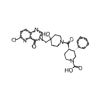 O=C(O)N1CC[C@@H](C(=O)N2CCC(O)(Cn3cnc4ccc(Cl)nc4c3=O)CC2)[C@H](c2ccccc2)C1